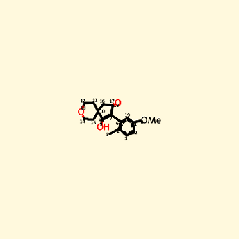 COc1ccc(C)c(C2=C(O)C3(CCOCC3)CC2=O)c1